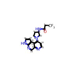 O=C(CC(F)(F)F)NC1CCN(c2ccnc3cnc4[nH]ccc4c23)C1